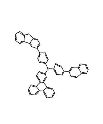 c1ccc2cc(-c3ccc(N(c4ccc(-c5ccc6sc7ccccc7c6c5)cc4)c4ccc5c6ccccc6c6ccccc6c5c4)cc3)ccc2c1